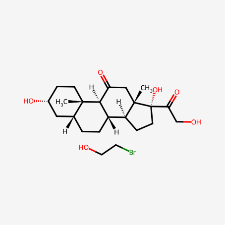 C[C@]12CC[C@@H](O)C[C@H]1CC[C@@H]1[C@@H]2C(=O)C[C@@]2(C)[C@H]1CC[C@]2(O)C(=O)CO.OCCBr